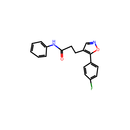 O=C(CCc1cnoc1-c1ccc(F)cc1)Nc1ccccc1